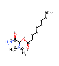 CCCCCCCCCCCCCCCCCC(=O)OC(C(N)=O)N(C)C